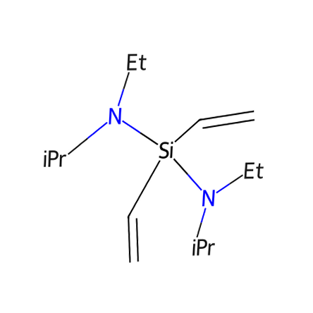 C=C[Si](C=C)(N(CC)C(C)C)N(CC)C(C)C